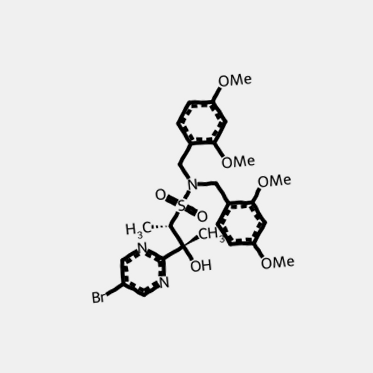 COc1ccc(CN(Cc2ccc(OC)cc2OC)S(=O)(=O)[C@@H](C)[C@](C)(O)c2ncc(Br)cn2)c(OC)c1